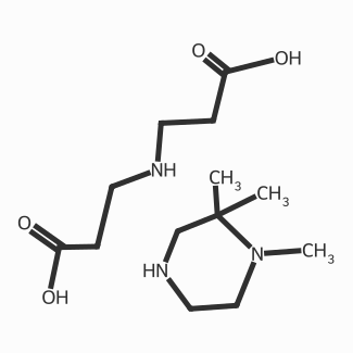 CN1CCNCC1(C)C.O=C(O)CCNCCC(=O)O